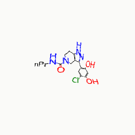 CCCNC(=O)N1CCc2[nH]nc(-c3cc(Cl)c(O)cc3O)c2C1